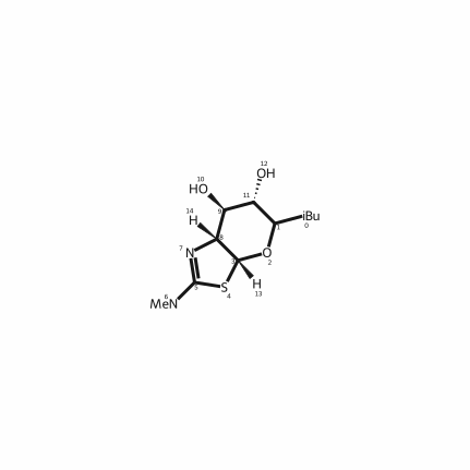 CCC(C)C1O[C@@H]2SC(NC)=N[C@@H]2[C@@H](O)[C@@H]1O